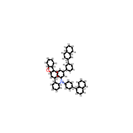 c1cc(-c2cccc(N(c3ccc(-c4cccc5ccccc45)cc3)c3ccccc3-c3ccc4c(c3)oc3ccccc34)c2)cc(-c2ccc3ccccc3c2)c1